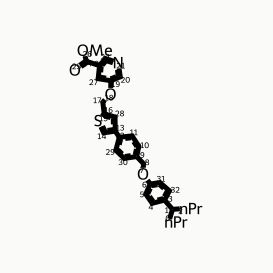 CCCC(CCC)c1ccc(OCc2ccc(-c3csc(COc4cncc(C(=O)OC)c4)c3)cc2)cc1